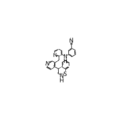 N#Cc1cccc(Nc2cccnc2Cc2cnccc2C2CNSc3ccccc32)c1